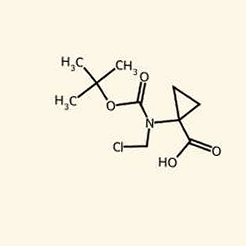 CC(C)(C)OC(=O)N(CCl)C1(C(=O)O)CC1